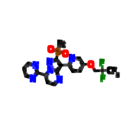 CCS(=O)(=O)c1nn2c(-c3ncccn3)ccnc2c1-c1ccc(OCC(F)(F)C(F)(F)F)cn1